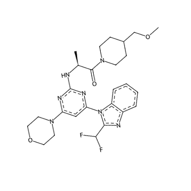 COCC1CCN(C(=O)[C@H](C)Nc2nc(N3CCOCC3)cc(-n3c(C(F)F)nc4ccccc43)n2)CC1